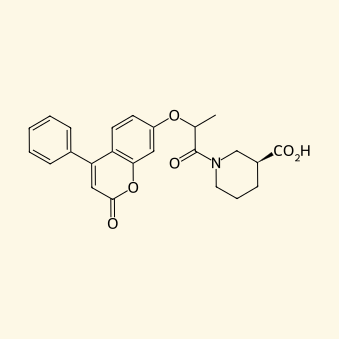 CC(Oc1ccc2c(-c3ccccc3)cc(=O)oc2c1)C(=O)N1CCC[C@H](C(=O)O)C1